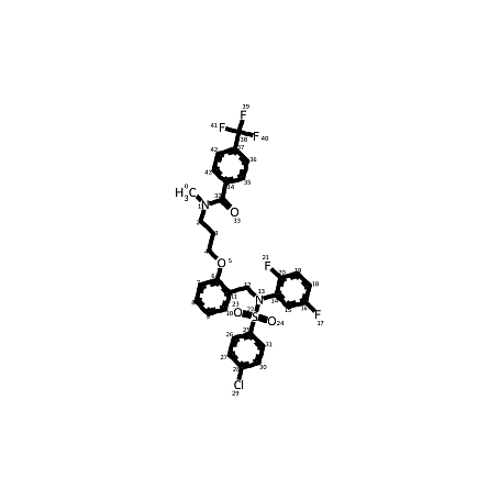 CN(CCCOc1ccccc1CN(c1cc(F)ccc1F)S(=O)(=O)c1ccc(Cl)cc1)C(=O)c1ccc(C(F)(F)F)cc1